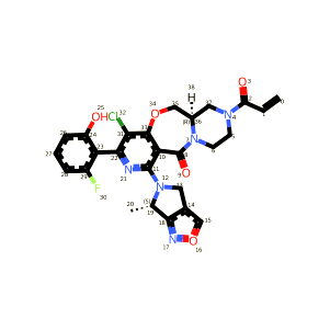 C=CC(=O)N1CCN2C(=O)c3c(N4Cc5conc5[C@@H]4C)nc(-c4c(O)cccc4F)c(Cl)c3OC[C@H]2C1